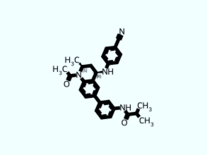 CC(=O)N1c2ccc(-c3cccc(NC(=O)C(C)C)c3)cc2[C@H](Nc2ccc(C#N)cc2)C[C@@H]1C